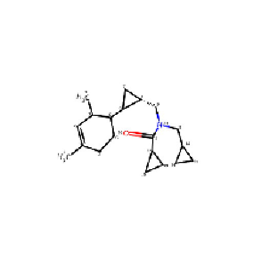 CC1=CC(C)C(C2C[C@@H]2CN(CC2CC2)C(=O)C2CC2)CC1